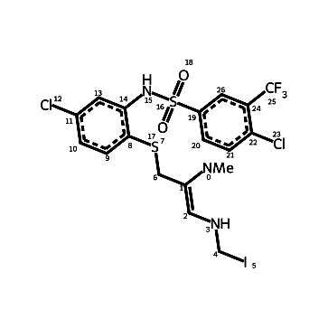 CN/C(=C\NCI)CSc1ccc(Cl)cc1NS(=O)(=O)c1ccc(Cl)c(C(F)(F)F)c1